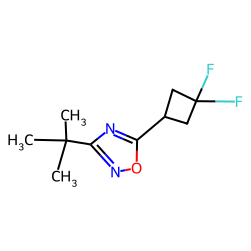 CC(C)(C)c1noc(C2CC(F)(F)C2)n1